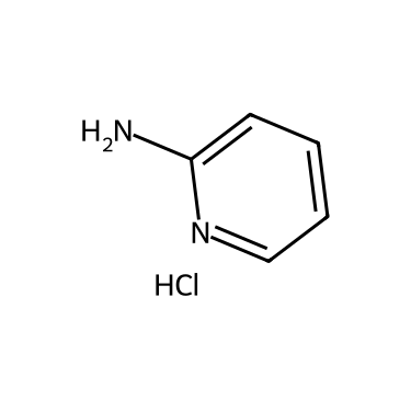 Cl.Nc1ccccn1